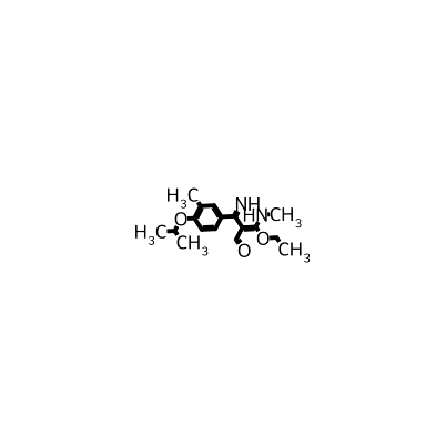 CCO/C(NC)=C(\C=O)C(=N)c1ccc(OC(C)C)c(C)c1